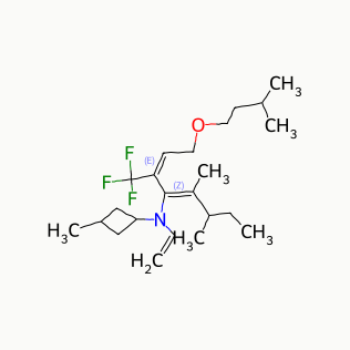 C=CN(C(=C(/C)C(C)CC)/C(=C\COCCC(C)C)C(F)(F)F)C1CC(C)C1